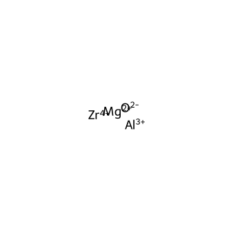 [Al+3].[Mg+2].[O-2].[Zr+4]